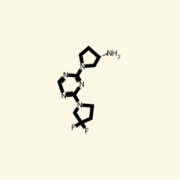 N[C@H]1[CH]CN(c2ncnc(N3CCC(F)(F)C3)n2)C1